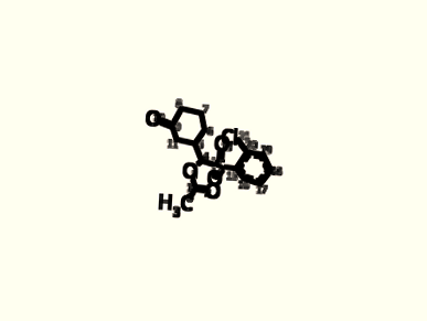 CC(=O)OC(C1CCCC(=O)C1)S(=O)(=O)c1ccccc1Cl